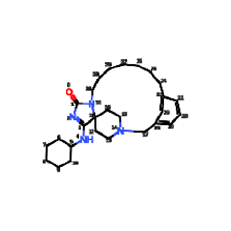 O=C1N=C(NC2CCCCC2)C23CCN(CC2)Cc2cccc(c2)CCCCCCCN13